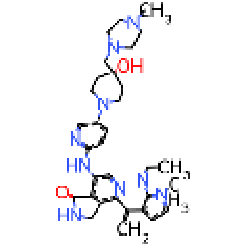 C=C(c1ccn(C)c1/N=C\C)c1ncc(Nc2ccc(N3CCC(O)(CN4CCN(C)CC4)CC3)cn2)c2c1CNC2=O